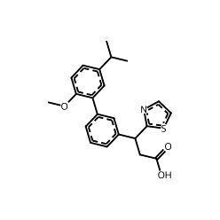 COc1ccc(C(C)C)cc1-c1cccc(C(CC(=O)O)c2nccs2)c1